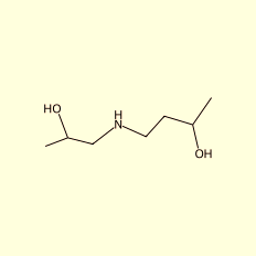 CC(O)CCNCC(C)O